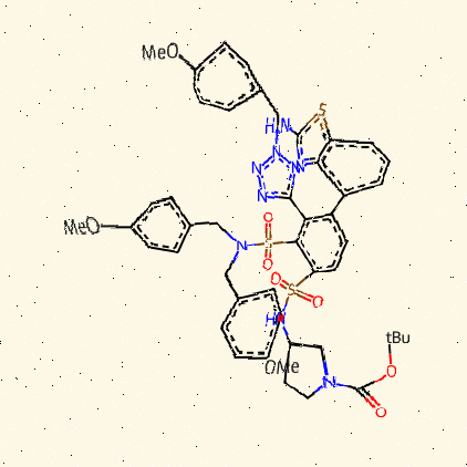 COc1ccc(CN(Cc2ccc(OC)cc2)S(=O)(=O)c2c(S(=O)(=O)NC3CCN(C(=O)OC(C)(C)C)C3)ccc(-c3cccc4sc(N)nc34)c2-c2nnn(Cc3ccc(OC)cc3)n2)cc1